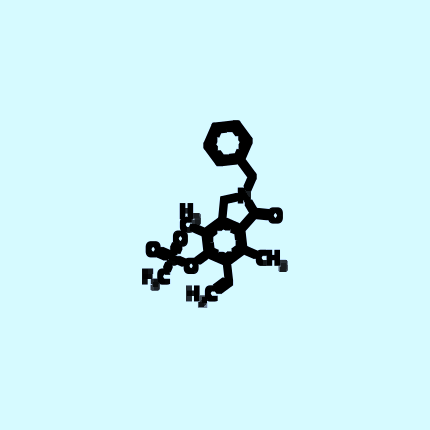 C=Cc1c(C)c2c(c(C)c1OS(=O)(=O)C(F)(F)F)CN(Cc1ccccc1)C2=O